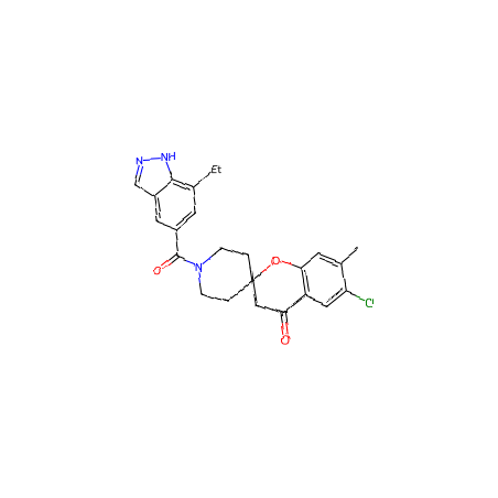 CCc1cc(C(=O)N2CCC3(CC2)CC(=O)c2cc(Cl)c(C)cc2O3)cc2cn[nH]c12